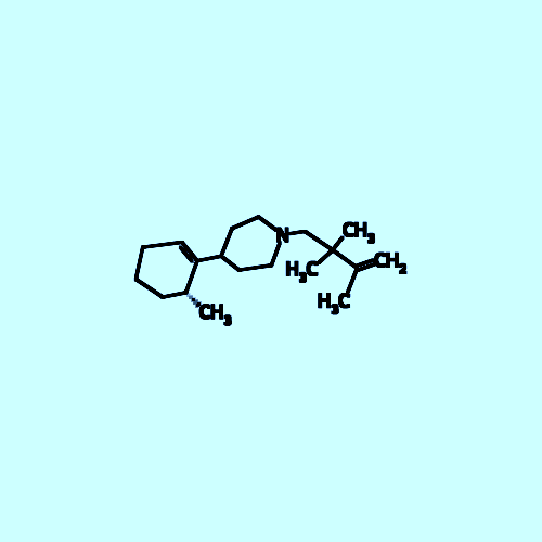 C=C(C)C(C)(C)CN1CCC(C2=CCCC[C@H]2C)CC1